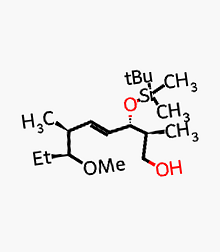 CC[C@H](OC)[C@@H](C)/C=C/[C@H](O[Si](C)(C)C(C)(C)C)[C@@H](C)CO